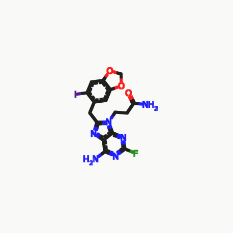 NC(=O)CCn1c(Cc2cc3c(cc2I)OCO3)nc2c(N)nc(F)nc21